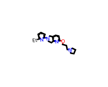 CCc1cccc(N2CCc3nc(OCCCN4CCCC4)ccc3C2)n1